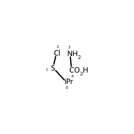 CC(C)SCl.NC(=O)O